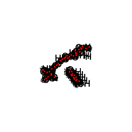 COC(=O)C(CNC(=O)C1CC(=O)c2ccc(CNc3ncc[nH]3)cc2N1C)NS(=O)(=O)c1ccc(-c2ccc(S(=O)(=O)NCCCOCCOCCOCCCNC(=O)CN3CCN(CC(=O)OC(C)(C)C)CCN(CC(=O)OC(C)(C)C)CCN(CC(=O)OC(C)(C)C)CC3)cc2)cc1.O=C(O)C(F)(F)F.O=C(O)C(F)(F)F.O=C(O)C(F)(F)F.O=C(O)C(F)(F)F.O=C(O)C(F)(F)F